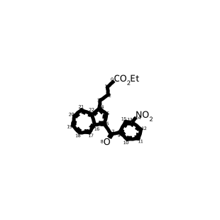 CCOC(=O)CCCc1cc(C(=O)c2cccc([N+](=O)[O-])c2)c2cccccc1-2